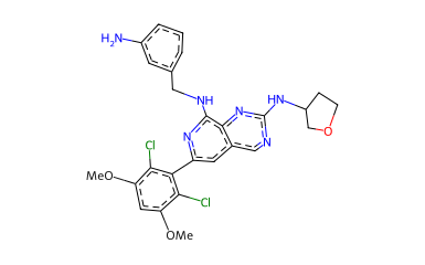 COc1cc(OC)c(Cl)c(-c2cc3cnc(NC4CCOC4)nc3c(NCc3cccc(N)c3)n2)c1Cl